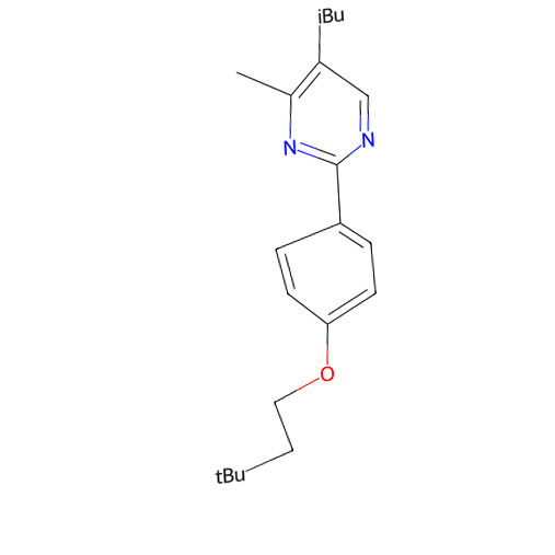 CCC(C)c1cnc(-c2ccc(OCCC(C)(C)C)cc2)nc1C